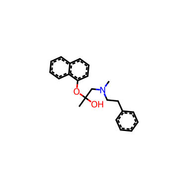 CN(CCc1ccccc1)CC(C)(O)Oc1cccc2ccccc12